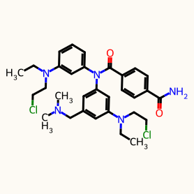 CCN(CCCl)c1cccc(N(C(=O)c2ccc(C(N)=O)cc2)c2cc(CN(C)C)cc(N(CC)CCCl)c2)c1